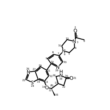 CC(=O)N1CCN(c2ccc(-c3cc(O[C@H](C)C4CNC(=O)C4)c4scnc4c3)nc2)CC1